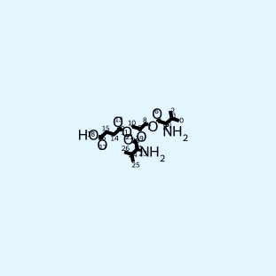 CC(C)[C@H](N)C(=O)OCC(COC(=O)CCC(=O)O)OC(=O)[C@@H](N)C(C)C